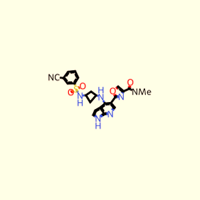 CNC(=O)c1coc(-c2cnc3[nH]ccc3c2NC2CC(NS(=O)(=O)c3cccc(C#N)c3)C2)n1